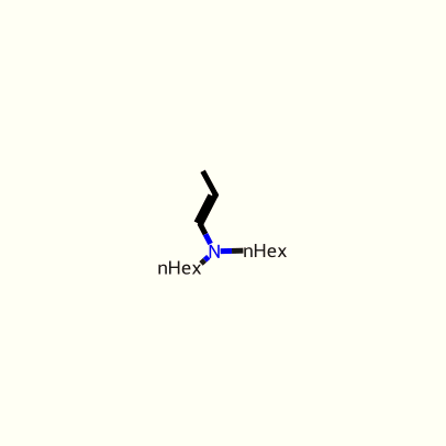 CC=CN(CCCCCC)CCCCCC